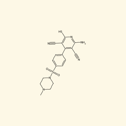 CN1CCN(S(=O)(=O)c2ccc(-c3c(C#N)c(N)nc(S)c3C#N)cc2)CC1